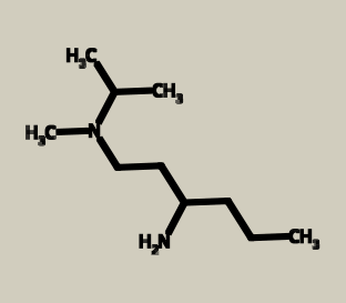 CCCC(N)CCN(C)C(C)C